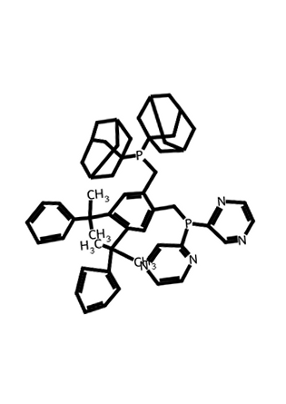 CC(C)(c1ccccc1)c1cc(CP(c2cnccn2)c2cnccn2)c(CP(C23CC4CC(CC(C4)C2)C3)C23CC4CC(CC(C4)C2)C3)cc1C(C)(C)c1ccccc1